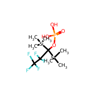 C[Si](C)(C)C(OP(=O)(O)O)(C(F)(F)C(F)(F)F)[Si](C)(C)C